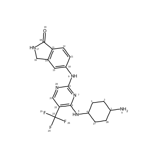 NC1CCC(Nc2nc(Nc3ccc4c(c3)CNC4=O)ncc2C(F)(F)F)CC1